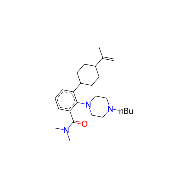 C=C(C)C1CCC(c2cccc(C(=O)N(C)C)c2N2CCN(CCCC)CC2)CC1